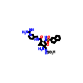 N=C(N)N1CCCC(CNC(=O)C[C@H](NS(=O)(=O)c2ccc3ccccc3c2)C(=O)C(N)(CNS(=O)(=O)O)C2CC2)C1